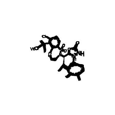 Cc1ccc(F)c(C(C)[C@@H](c2n[nH]c(=O)o2)N2CCOc3c(ccc(Cl)c3C(C)(C)O)S2(=O)=O)c1C